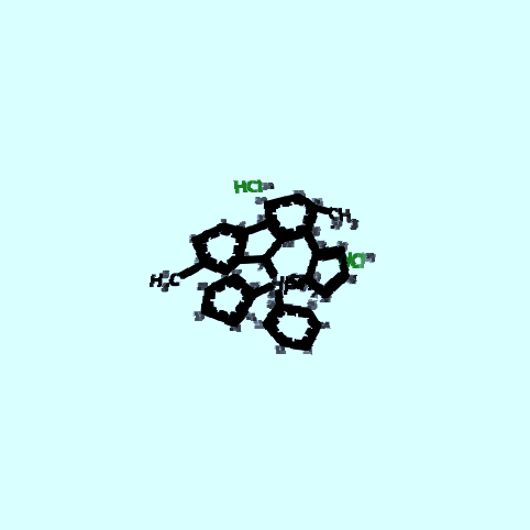 Cc1ccc2c(c1)[CH]([Hf](=[SiH2])([c]1ccccc1)[c]1ccccc1)c1c-2ccc(C)c1C1=CC=CC1.Cl.Cl